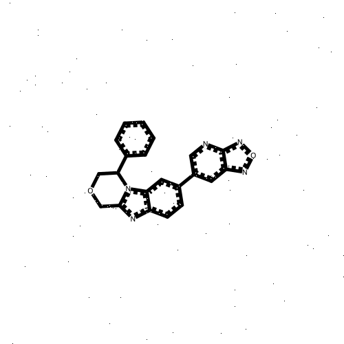 c1ccc(C2COCc3nc4ccc(-c5cnc6nonc6c5)cc4n32)cc1